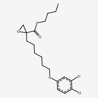 CCCCOC(=O)C1(CCCCCCOc2ccc(Cl)c(Cl)c2)CO1